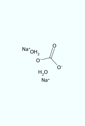 O.O.O=C([O-])[O-].[Na+].[Na+]